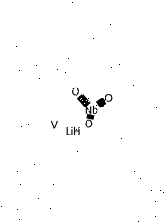 [LiH].[O]=[Nb](=[O])=[O].[V]